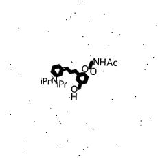 CC(=O)NCC(=O)Oc1ccc(CO)cc1CCCc1cccc(N(C(C)C)C(C)C)c1